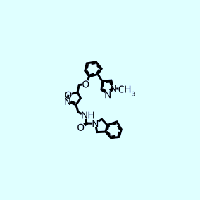 Cn1cc(-c2ccccc2OCC2CC(CNC(=O)N3Cc4ccccc4C3)=NO2)cn1